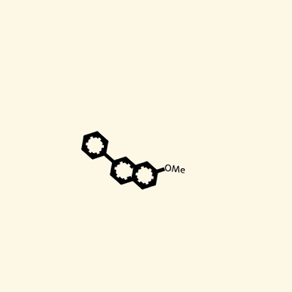 COc1ccc2ccc(-c3ccccc3)cc2c1